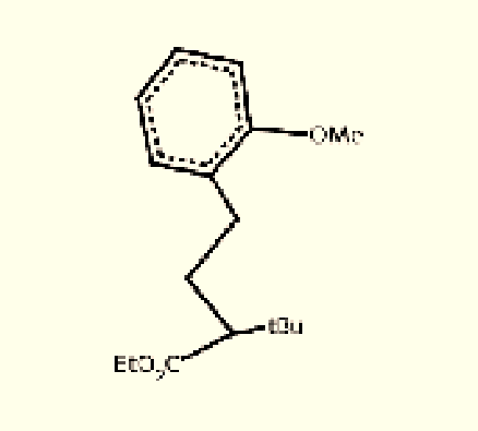 CCOC(=O)C(CCc1ccccc1OC)C(C)(C)C